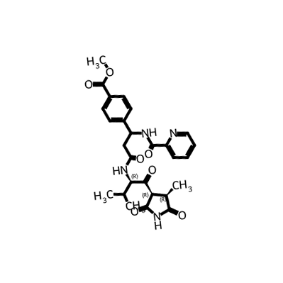 COC(=O)c1ccc(C(CC(=O)N[C@@H](C(=O)[C@@H]2C(=O)NC(=O)[C@@H]2C)C(C)C)NC(=O)c2ccccn2)cc1